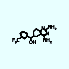 Nc1nc(N)c2c(n1)CCC(C(O)c1cccc(C(F)(F)F)c1)C2